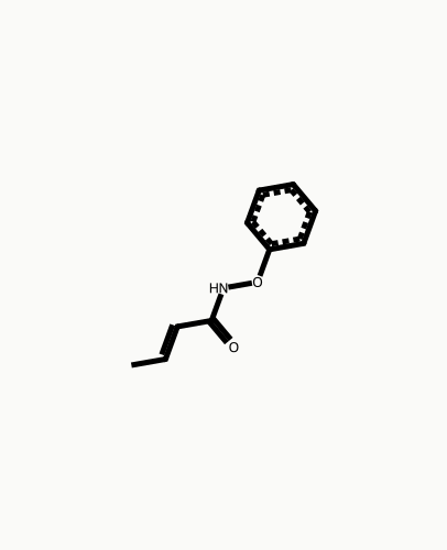 CC=CC(=O)NOc1ccccc1